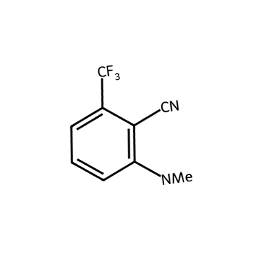 CNc1cccc(C(F)(F)F)c1C#N